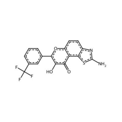 Nc1nc2ccc3oc(-c4cccc(C(F)(F)F)c4)c(O)c(=O)c3c2s1